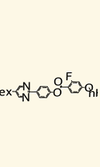 CCCCCCCOc1ccc(C(=O)Oc2ccc(-c3ncc(CCCCCC)cn3)cc2)c(F)c1